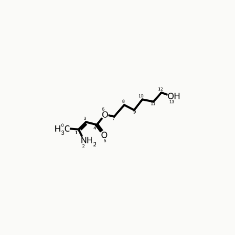 C/C(N)=C/C(=O)OCCCCCCO